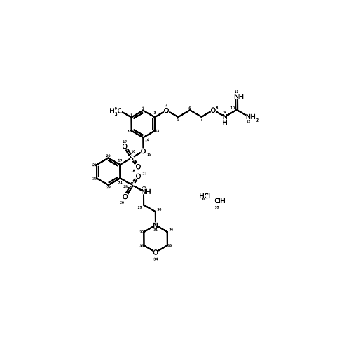 Cc1cc(OCCCONC(=N)N)cc(OS(=O)(=O)c2ccccc2S(=O)(=O)NCCN2CCOCC2)c1.Cl.Cl